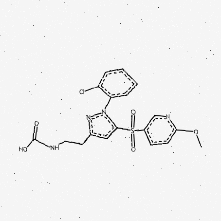 COc1ccc(S(=O)(=O)c2cc(CCNC(=O)O)nn2-c2ccccc2Cl)cn1